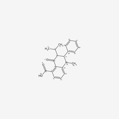 CC(C)C1C(=O)c2c(C(=O)O)cccc2N(C)C1c1ccccc1